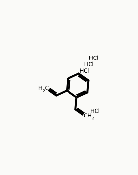 C=Cc1ccccc1C=C.Cl.Cl.Cl.Cl